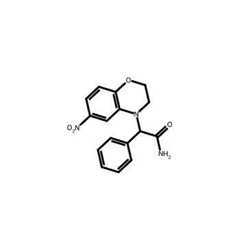 NC(=O)C(c1ccccc1)N1CCOc2ccc([N+](=O)[O-])cc21